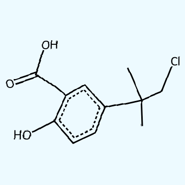 CC(C)(CCl)c1ccc(O)c(C(=O)O)c1